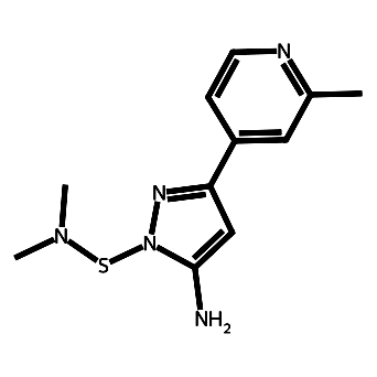 Cc1cc(-c2cc(N)n(SN(C)C)n2)ccn1